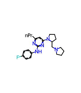 CCCc1cc(N2CCCC2CN2CCCC2)nc(Nc2ccc(F)cc2)n1